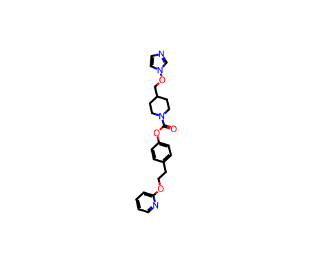 O=C(Oc1ccc(CCOc2ccccn2)cc1)N1CCC(COn2ccnc2)CC1